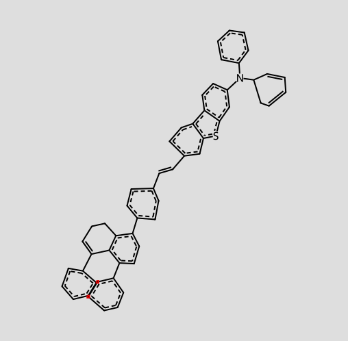 C1=CCC(N(c2ccccc2)c2ccc3c(c2)sc2cc(/C=C/c4ccc(-c5ccc(-c6ccccc6)c6c5CCC=C6c5ccccc5)cc4)ccc23)C=C1